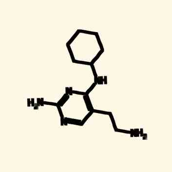 NCCc1cnc(N)nc1NC1CCCCC1